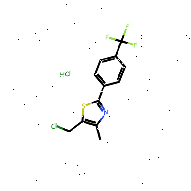 Cc1nc(-c2ccc(C(F)(F)F)cc2)sc1CCl.Cl